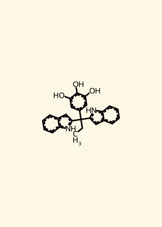 CCC(c1cc(O)c(O)c(O)c1)(c1cc2ccccc2[nH]1)c1cc2ccccc2[nH]1